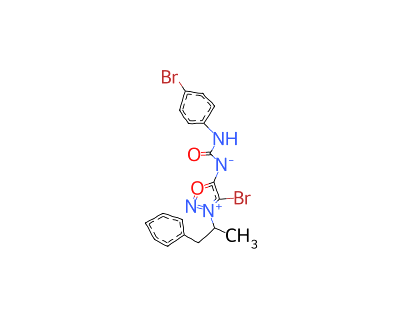 CC(Cc1ccccc1)[n+]1noc([N-]C(=O)Nc2ccc(Br)cc2)c1Br